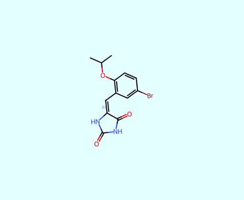 CC(C)Oc1ccc(Br)cc1/C=C1/NC(=O)NC1=O